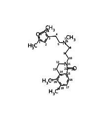 Cc1cc(CCN(C)CCCN2CCc3c(ccc(C)c3C)C2=O)c(C)o1